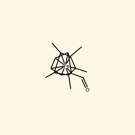 C[C]12[C]3(C)[C]4(C)[C]5(C)[C]1(C)[Fe]23451678[CH]2[CH]1[CH]6[C]7(C=O)[CH]28